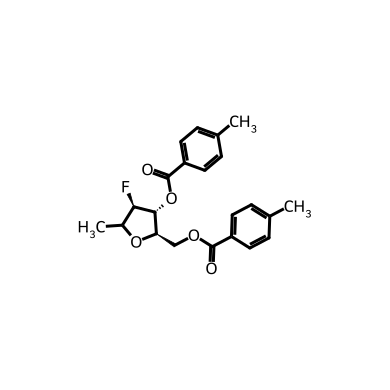 Cc1ccc(C(=O)OC[C@H]2OC(C)[C@@H](F)[C@@H]2OC(=O)c2ccc(C)cc2)cc1